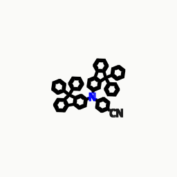 N#Cc1ccc(N(c2ccc3c(c2)C(c2ccccc2)(c2ccccc2)c2ccccc2-3)c2ccc3c(c2)C(c2ccccc2)(c2ccccc2)c2ccccc2-3)cc1